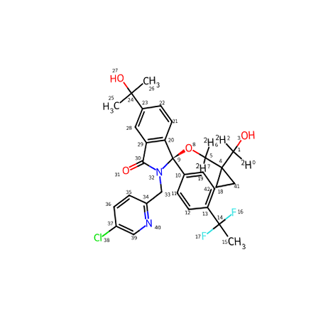 [2H]C([2H])(O)C1(C([2H])([2H])O[C@]2(c3ccc(C(C)(F)F)cc3)c3ccc(C(C)(C)O)cc3C(=O)N2Cc2ccc(Cl)cn2)CC1